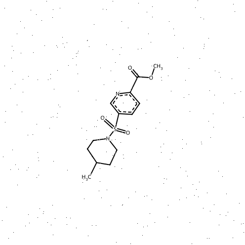 COC(=O)c1ccc(S(=O)(=O)N2CCC(C)CC2)cn1